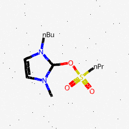 CCCCN1C=CN(C)C1OS(=O)(=O)CCC